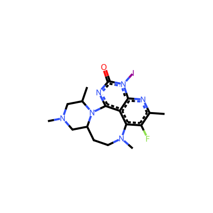 Cc1nc2c3c(nc(=O)n2I)N2C(C)CN(C)CC2CCN(C)c3c1F